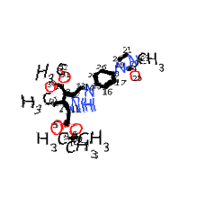 CCc1c(C(=O)OC(C)(C)C)[nH]c(CNc2ccc(N3CCN(C)C3=O)cc2)c1C(=O)OC